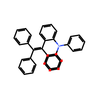 c1ccc(C(=C(c2ccccc2)c2ccccc2N(c2ccccc2)c2ccccc2)c2ccccc2)cc1